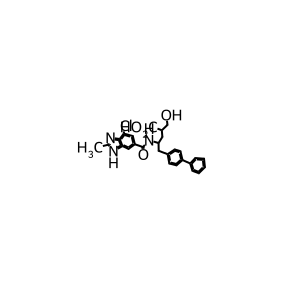 Cc1nc2c(Cl)cc(C(=O)NC(Cc3ccc(-c4ccccc4)cc3)CC(CO)C(=O)O)cc2[nH]1